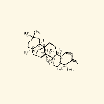 C[C@H]1C(=O)C=C[C@@H]2[C@]1(C)CC[C@H]1[C@@]2(C)CC[C@@]2(C)[C@@H]3CC(C)(C)CC[C@]3(C)CC[C@]12C